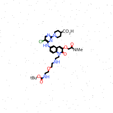 CNC(=O)COc1cc2cc(Nc3nc(N4CCC(C(=O)O)CC4)ncc3Cl)ccc2n(CCNCCOCCNC(=O)OC(C)(C)C)c1=O